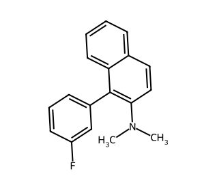 CN(C)c1ccc2ccccc2c1-c1cccc(F)c1